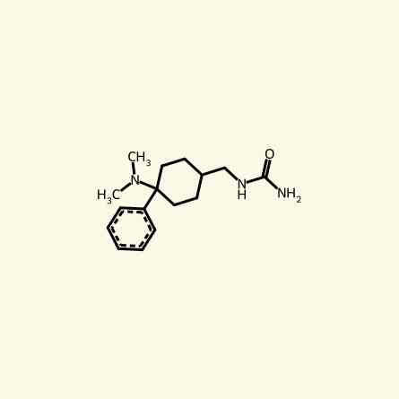 CN(C)C1(c2ccccc2)CCC(CNC(N)=O)CC1